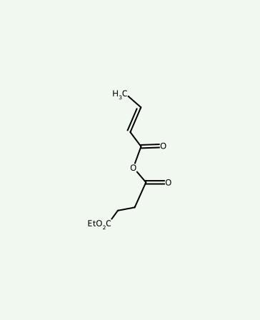 CC=CC(=O)OC(=O)CCC(=O)OCC